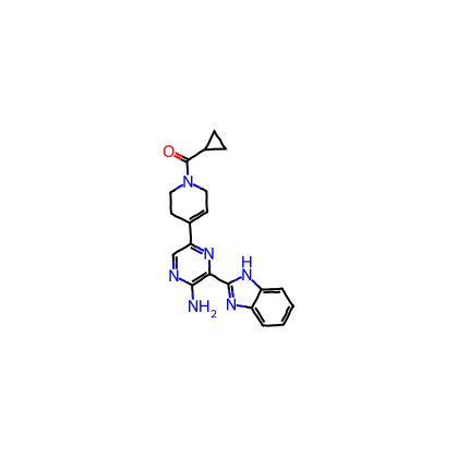 Nc1ncc(C2=CCN(C(=O)C3CC3)CC2)nc1-c1nc2ccccc2[nH]1